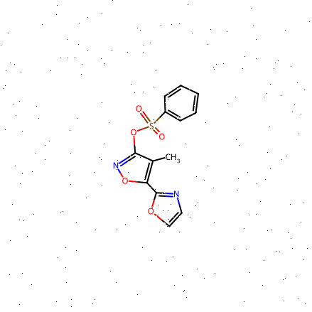 Cc1c(OS(=O)(=O)c2ccccc2)noc1-c1ncco1